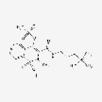 CN1C(C(=O)NCCC[N+](C)(C)C)=C(OS(C)(=O)=O)c2ccccc2S1(=O)=O.[I-]